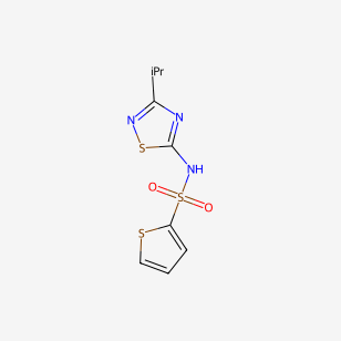 CC(C)c1nsc(NS(=O)(=O)c2cccs2)n1